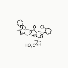 CN1N=C2CCN(C(=O)C(COc3ccccc3Cl)NC(=O)C(C)(C)NC(=O)O)CC2(Cc2ccccc2)C1=O